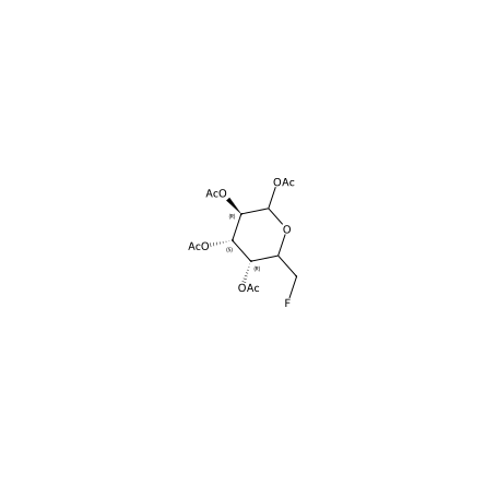 CC(=O)OC1OC(CF)[C@H](OC(C)=O)[C@H](OC(C)=O)[C@H]1OC(C)=O